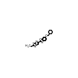 CCc1nn2cc(-c3nc4ccc(OCC5CCCCC5)cc4o3)nc2s1